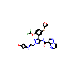 O=C(Nc1cn(CCNC2CC(O)C2)nc1-c1cc(SC2COC2)ccc1OC(F)F)c1cnn2cccnc12